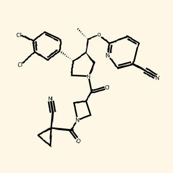 C[C@H](Oc1ccc(C#N)cn1)[C@H]1CN(C(=O)C2CN(C(=O)C3(C#N)CC3)C2)C[C@@H]1c1ccc(Cl)c(Cl)c1